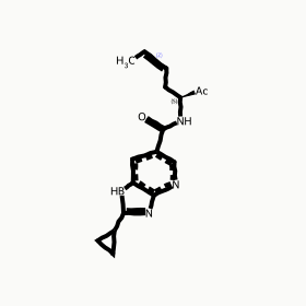 C/C=C\C[C@H](NC(=O)c1cnc2c(c1)BC(C1CC1)=N2)C(C)=O